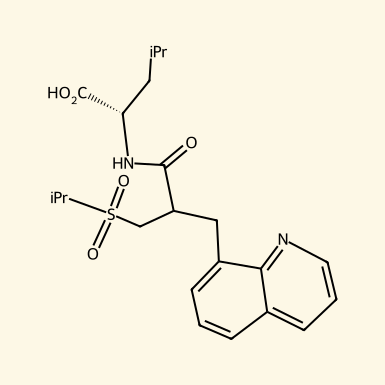 CC(C)C[C@H](NC(=O)C(Cc1cccc2cccnc12)CS(=O)(=O)C(C)C)C(=O)O